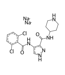 O=C(NC1CCNCC1)c1n[nH]cc1NC(=O)c1c(Cl)cccc1Cl.[Na].[Na]